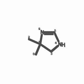 CC1(C)CNC=N1